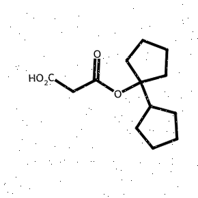 O=C(O)CC(=O)OC1(C2CCCC2)CCCC1